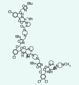 CC(C)C[C@@H](NC(=O)c1ccc(Cl)cc1OCc1ncc(C(C)(C)C)o1)C(=O)N1CCC[C@@H]1C(=O)N1CCN(Cc2nc(COc3ccc(Cl)cc3C(=O)N[C@H](CC(C)C)C(=O)N3CCC[C@@H]3C(=O)N3CCN(Cc4nc(COc5cc(Cl)c(Cl)cc5C(=O)N[C@H](CC(C)C)C(=O)N5CCC[C@@H]5C(=O)N5CCN(C)CC5)oc4C(C)(C)C)CC3)oc2C(C)(C)C)CC1